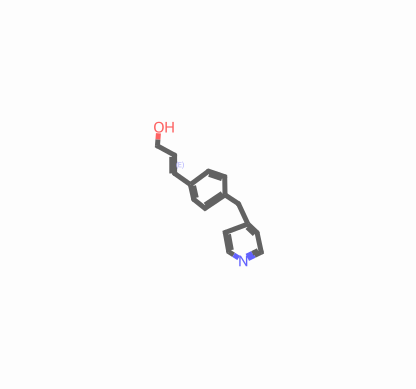 OC/C=C/c1ccc(Cc2ccncc2)cc1